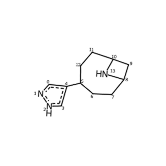 c1n[nH]cc1C1CCC2CC(CC1)N2